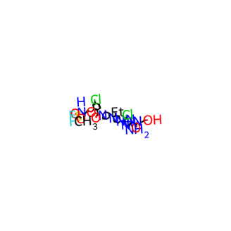 CC[C@H]1CN(c2nc(N)c(C(=O)NCCO)nc2Cl)CCN1C1CCN(C(=O)c2ccc(Cl)cc2OCCNS(=O)(=O)C(C)(F)F)CC1